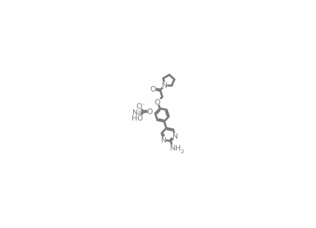 Nc1ncc(-c2ccc(OCC(=O)N3CCCC3)cc2)cn1.O=C([O-])O.[Na+]